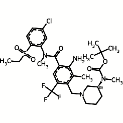 CCS(=O)(=O)c1ccc(Cl)cc1N(C)C(=O)c1cc(C(F)(F)F)c(CN2CCC[C@H](N(C)C(=O)OC(C)(C)C)C2)c(C)c1N